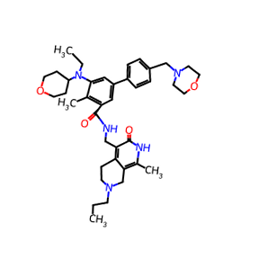 CCCN1CCc2c(c(C)[nH]c(=O)c2CNC(=O)c2cc(-c3ccc(CN4CCOCC4)cc3)cc(N(CC)C3CCOCC3)c2C)C1